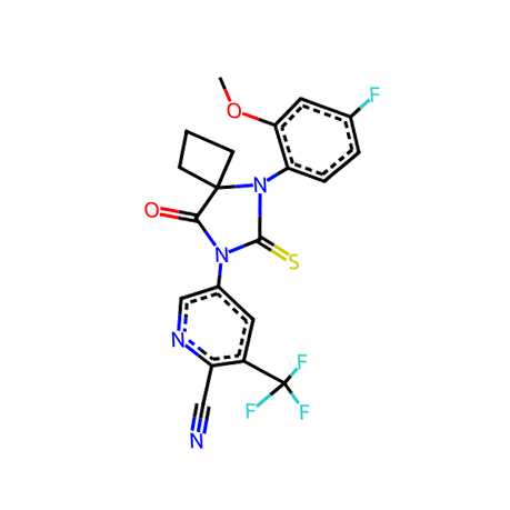 COc1cc(F)ccc1N1C(=S)N(c2cnc(C#N)c(C(F)(F)F)c2)C(=O)C12CCC2